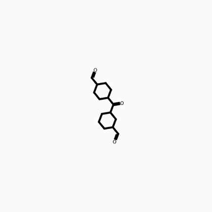 O=CC1CCC(C(=O)C2CCCC(C=O)C2)CC1